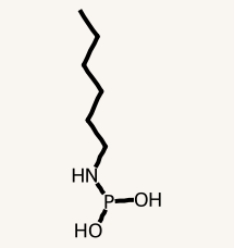 CCCCCCNP(O)O